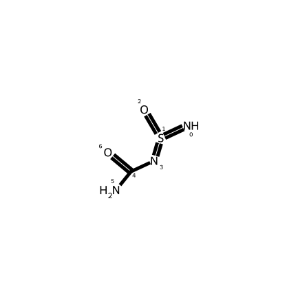 N=S(=O)=NC(N)=O